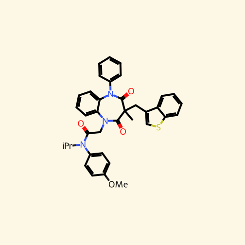 COc1ccc(N(C(=O)CN2C(=O)C(C)(Cc3csc4ccccc34)C(=O)N(c3ccccc3)c3ccccc32)C(C)C)cc1